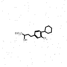 CCOC(=O)C(O)CCc1ccc(C2CCCCC2)c(C(F)(F)F)c1